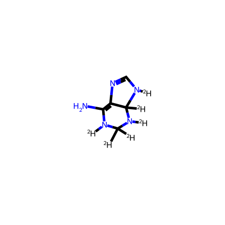 [2H]N1C(N)=C2N=CN([2H])C2([2H])N([2H])C1([2H])[2H]